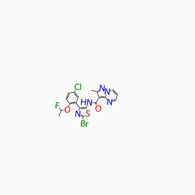 Cc1nn2cccnc2c1C(=O)Nc1sc(Br)nc1-c1cc(Cl)ccc1OC(C)F